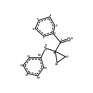 O=C(c1ccccc1)C1(Sc2ccccc2)CC1